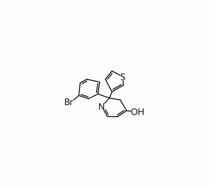 OC1=CC=NC(c2ccsc2)(c2cccc(Br)c2)C1